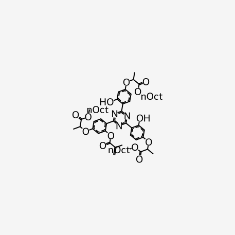 C=C(C)C(=O)Oc1cc(OC(C)C(=O)OCCCCCCCC)ccc1-c1nc(-c2ccc(OC(C)C(=O)OCCCCCCCC)cc2O)nc(-c2ccc(OC(C)C(=O)OCCCCCCCC)cc2O)n1